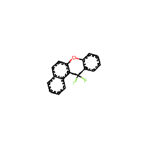 FC1(F)c2ccccc2Oc2ccc3ccccc3c21